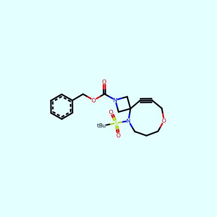 CC(C)(C)S(=O)(=O)N1CCCOCC#CC12CN(C(=O)OCc1ccccc1)C2